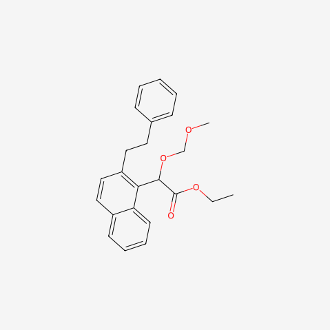 CCOC(=O)C(OCOC)c1c(CCc2ccccc2)ccc2ccccc12